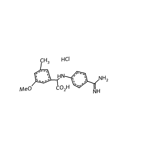 COc1cc(C)cc(C(Nc2ccc(C(=N)N)cc2)C(=O)O)c1.Cl